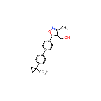 CC1=NOC(c2ccc(-c3ccc(C4(C(=O)O)CC4)cc3)cc2)C1CO